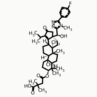 CC(C)C1=C2[C@H]3CC[C@@H]4[C@@]5(C)CC[C@H](OC(=O)CC(C)(C)C(=O)O)C(C)(C)[C@@H]5CC[C@@]4(C)[C@]3(C)CC[C@@]2([C@H](O)c2nnc(-c3ccc(F)cc3)n2C)CC1=O